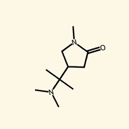 CN1CC(C(C)(C)N(C)C)CC1=O